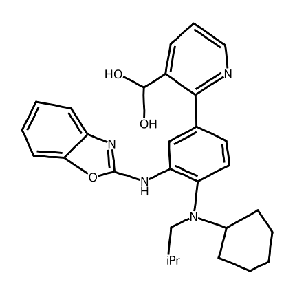 CC(C)CN(c1ccc(-c2ncccc2C(O)O)cc1Nc1nc2ccccc2o1)C1CCCCC1